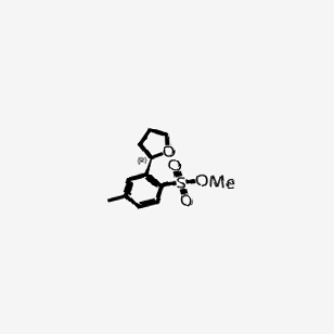 COS(=O)(=O)c1ccc(C)cc1[C@H]1CCCO1